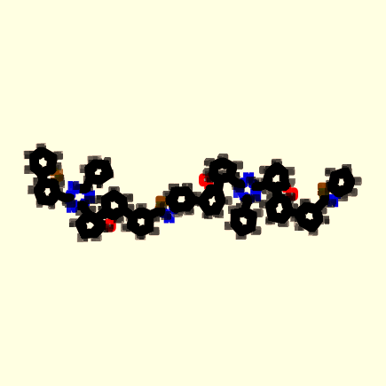 c1ccc(-c2nc(-c3cccc4c3sc3ccccc34)nc(-c3cccc4oc5c(-c6cccc(-c7nc8cc(-c9cccc%10c9oc9cccc(-c%11nc(-c%12ccccc%12)nc(-c%12cccc%13oc%14c(-c%15cccc(-c%16nc%17ccccc%17s%16)c%15)cccc%14c%12%13)n%11)c9%10)ccc8s7)c6)cccc5c34)n2)cc1